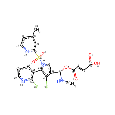 CNC(OC(=O)/C=C/C(=O)O)c1cn(S(=O)(=O)c2cc(C)ccn2)c(-c2cccnc2F)c1F